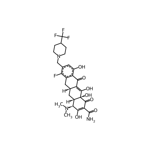 CN(C)[C@@H]1C(O)=C(C(N)=O)C(=O)[C@@]2(O)C(O)=C3C(=O)c4c(O)cc(CN5CCC(C(F)(F)F)CC5)c(F)c4C[C@H]3C[C@@H]12